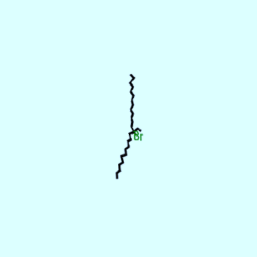 CCCCCCCCCCCCCC(Br)(CC)CCCCCCCCCCCC